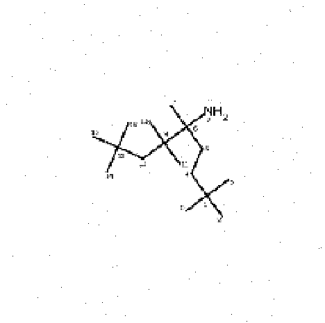 CC(C)(C)CCC(C)(N)C(C)(C)CC(C)(C)C